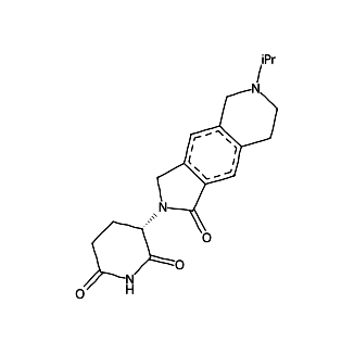 CC(C)N1CCc2cc3c(cc2C1)CN([C@H]1CCC(=O)NC1=O)C3=O